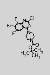 CC(C)(C)OC(=O)N1CCN(c2nc(Cl)nc3c(F)c(Br)c(F)cc23)CC1